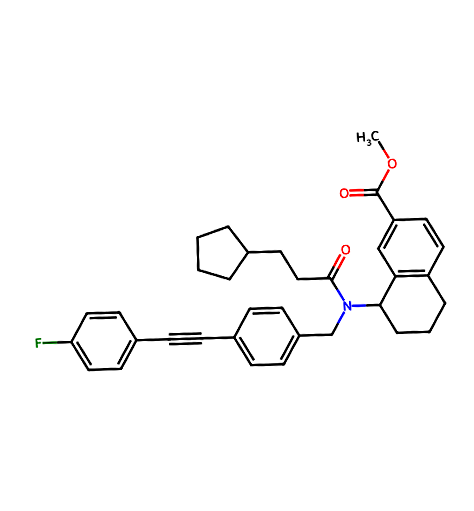 COC(=O)c1ccc2c(c1)C(N(Cc1ccc(C#Cc3ccc(F)cc3)cc1)C(=O)CCC1CCCC1)CCC2